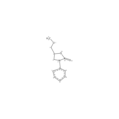 COCC1CN(c2cc[c]cc2)C(=O)O1